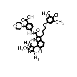 Cc1cc(OCCCc2c(C(=O)Nc3ccc(C(=O)O)c(N4CCOCC4)c3)[nH]c3c(-c4c(C)nn(C)c4C)c(Cl)ccc23)cc(C)c1Cl